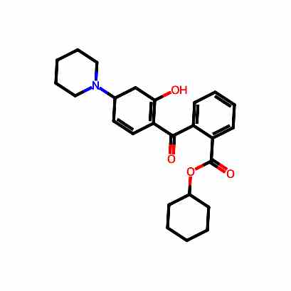 O=C(OC1CCCCC1)c1ccccc1C(=O)C1=C(O)CC(N2CCCCC2)C=C1